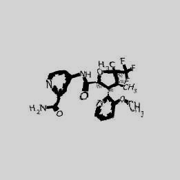 COc1cccnc1[C@@H]1[C@@H](C(=O)Nc2ccnc(C(N)=O)c2)O[C@](C)(C(F)(F)F)[C@H]1C